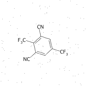 N#Cc1cc(C(F)(F)F)cc(C#N)c1C(F)(F)F